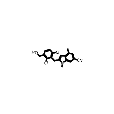 Cc1cc(C#N)cc2c1cc(Cc1c(Cl)ccc(CO)c1Cl)n2C